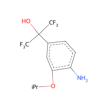 CC(C)Oc1cc(C(O)(C(F)(F)F)C(F)(F)F)ccc1N